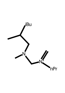 C=[N+](CCC)CN(C)CC(C)C(C)CC